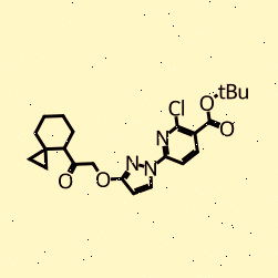 CC(C)(C)OC(=O)c1ccc(-n2ccc(OCC(=O)C3CCCCC34CC4)n2)nc1Cl